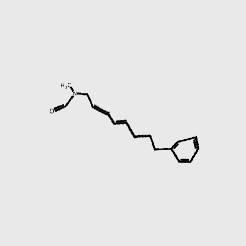 CN(C=O)C/C=C/C=C/CCCc1ccccc1